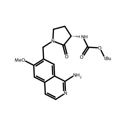 COc1cc2ccnc(N)c2cc1CN1CC[C@H](NC(=O)OC(C)(C)C)C1=O